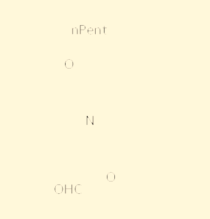 CCCCCOc1cccc(OC=O)n1